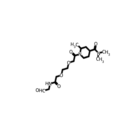 CC1CC(C(=O)N(C)C)CCN1C(=O)COCCOCC(=O)NCC=O